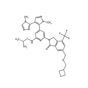 CC(C)CNc1cc(-c2c(-c3nncn3C)cnn2C)cc(N2Cc3c(cc(COCC4CCC4)cc3C(F)(F)F)C2=O)n1